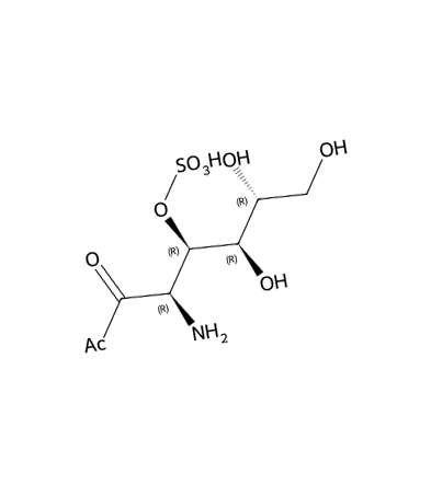 CC(=O)C(=O)[C@H](N)[C@@H](OS(=O)(=O)O)[C@H](O)[C@H](O)CO